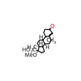 CO[C@]1(C(=O)O)CC[C@H]2[C@@H]3CCC4=CC(=O)CC[C@]4(C)[C@H]3CC[C@@]21C